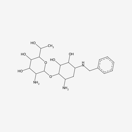 CC(O)C1OC(OC2C(N)CC(NCc3ccccc3)C(O)C2O)C(N)C(O)C1O